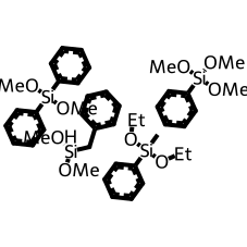 CCO[Si](C)(OCC)c1ccccc1.CO[SiH](Cc1ccccc1)OC.CO[Si](OC)(OC)c1ccccc1.CO[Si](OC)(c1ccccc1)c1ccccc1